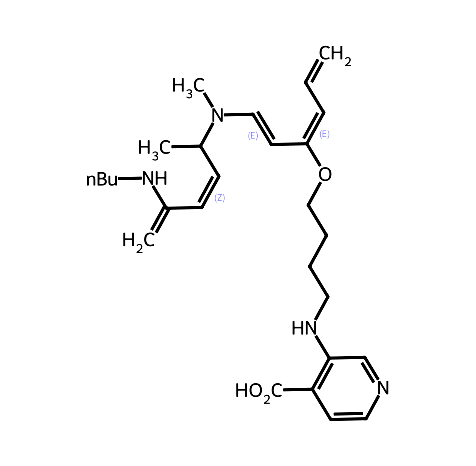 C=C/C=C(\C=C\N(C)C(C)/C=C\C(=C)NCCCC)OCCCCNc1cnccc1C(=O)O